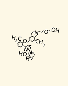 Cc1cc(COc2c(C)cccc2-c2csc(N3CC[C@@]4(C(=O)O)C[C@H]4C3)n2)cc2c1CN(CCCOCCO)CC2